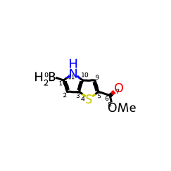 Bc1cc2sc(C(=O)OC)cc2[nH]1